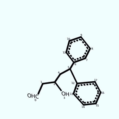 O=CCC(O)CC(c1ccccc1)c1ccccc1